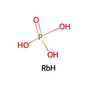 O=P(O)(O)O.[RbH]